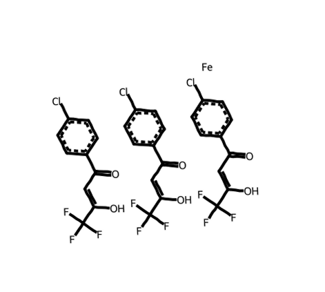 O=C(C=C(O)C(F)(F)F)c1ccc(Cl)cc1.O=C(C=C(O)C(F)(F)F)c1ccc(Cl)cc1.O=C(C=C(O)C(F)(F)F)c1ccc(Cl)cc1.[Fe]